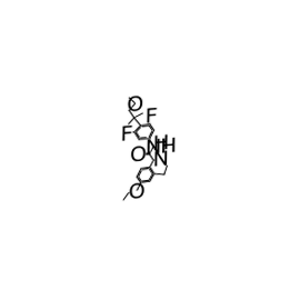 CCOc1ccc2c(c1)CCNC2C(=O)Nc1cc(F)c(C(C)(C)COC)c(F)c1